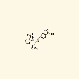 COCCN(/N=C/c1ccc2c(c1)COB2O)C1=NS(=O)(=O)c2ccccc21